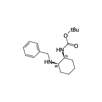 CC(C)(C)OC(=O)N[C@H]1CCCC[C@H]1NCc1ccccc1